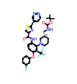 CC(C)(C)OC(=O)NC[C@@H]1CCCN(c2c(NC(=O)c3csc(-c4ccnnc4)n3)ccc(Oc3cccc(F)c3)c2C(F)(F)F)C1